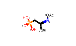 CC(=O)ON=C(CP(=O)(O)O)C(C)(C)C